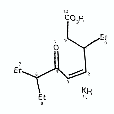 CCC(/C=C\C(=O)C(CC)CC)CC(=O)O.[KH]